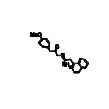 COc1ccc(CC(=O)C/N=C(\N)Cc2cccc3ccccc23)cc1